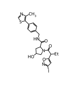 CCC(C(=O)N1CC(O)CC1C(=O)NCc1ccc(-c2scnc2C)cc1)c1cc(I)no1